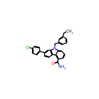 CCc1cccc(Cn2c3cc(-c4ccc(Cl)cc4)c[c]c3c3c(C(N)=O)cccc32)c1